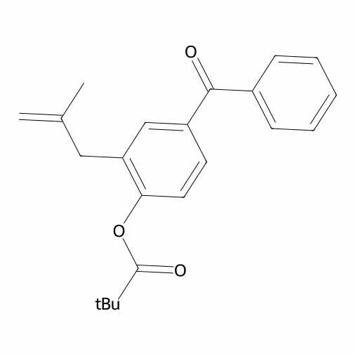 C=C(C)Cc1cc(C(=O)c2ccccc2)ccc1OC(=O)C(C)(C)C